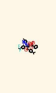 COC(=O)[C@H](OC1=C(C(=O)c2ccc(C(C)C)cc2)[C@@H](c2ccc(C(C)(F)F)cc2)N(c2ccc(C)nn2)C1=O)c1ccccc1